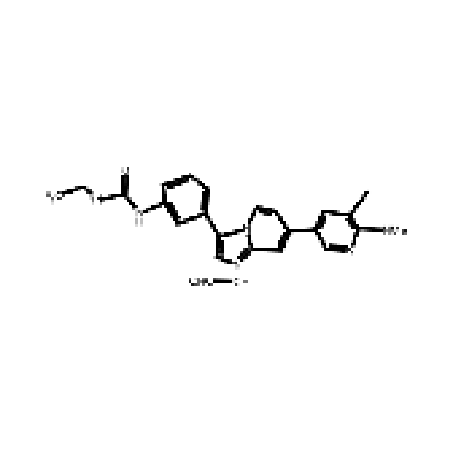 CNc1ncc(-c2ccn3c(-c4cccc(NC(=O)NCC(F)(F)F)c4)cnc3c2)cc1C.O=CO